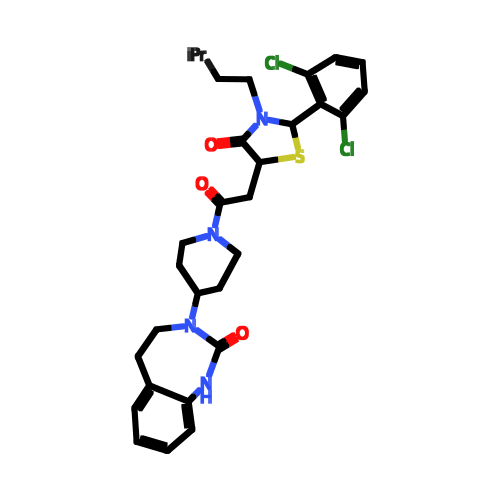 CC(C)CCN1C(=O)C(CC(=O)N2CCC(N3CCc4ccccc4NC3=O)CC2)SC1c1c(Cl)cccc1Cl